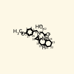 COc1ccc(CN(C2CC2)[C@H](CO)C(=O)N2CCC[C@H]3CCCC[C@@H]32)cc1